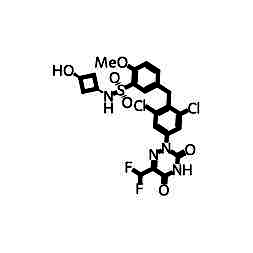 COc1ccc(Cc2c(Cl)cc(-n3nc(C(F)F)c(=O)[nH]c3=O)cc2Cl)cc1S(=O)(=O)N[C@H]1C[C@H](O)C1